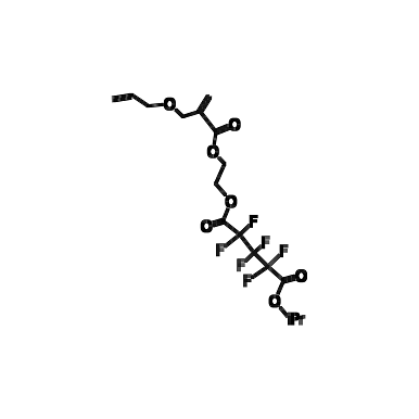 C=CCOCC(=C)C(=O)OCCOC(=O)C(F)(F)C(F)(F)C(F)(F)C(=O)OC(C)C